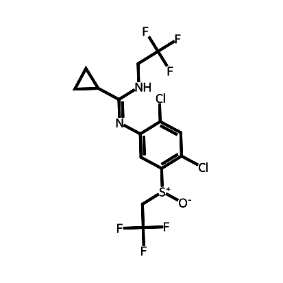 [O-][S+](CC(F)(F)F)c1cc(/N=C(\NCC(F)(F)F)C2CC2)c(Cl)cc1Cl